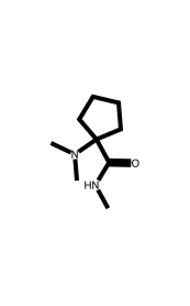 CNC(=O)C1(N(C)C)CCCC1